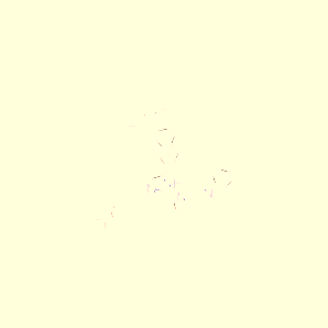 CCC(=O)CCCCCC(C(=O)NCCN1CCCc2ccccc21)c1ncc(-c2ccc3ccccc3c2)[nH]1.O=C(O)C(F)(F)F